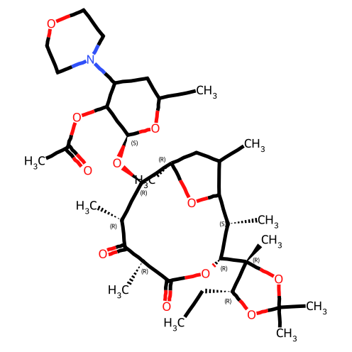 CC[C@H]1OC(C)(C)O[C@@]1(C)[C@@H]1OC(=O)[C@H](C)C(=O)[C@H](C)[C@@H](O[C@@H]2OC(C)CC(N3CCOCC3)C2OC(C)=O)[C@@]2(C)CC(C)C(O2)[C@@H]1C